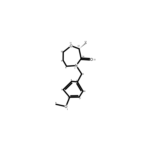 COc1ccc(CN2CCCO[C@H](C)C2=O)cc1